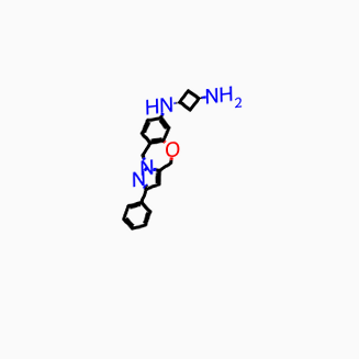 N[C@H]1C[C@H](Nc2ccc3c(c2)OCc2cc(-c4ccccc4)nn2C3)C1